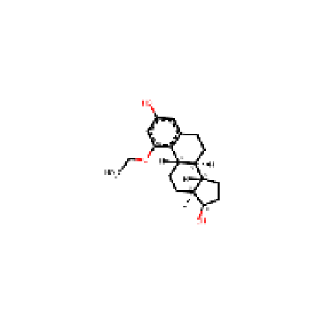 C[C@]12CC[C@@H]3c4c(cc(O)cc4OCC(=O)O)CC[C@H]3[C@@H]1CC[C@H]2O